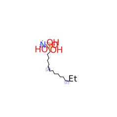 CC/C=C\CCCCC/C=C\CCCCCC(O)(C[N+](C)(C)C)P(=O)(O)O